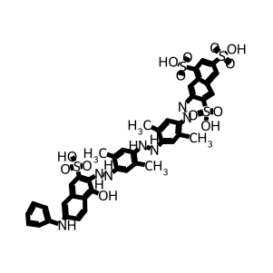 Cc1cc(NNc2cc(C)c(NNc3c(S(=O)(=O)O)cc4cc(Nc5ccccc5)ccc4c3O)cc2C)c(C)cc1N=Nc1cc2c(S(=O)(=O)O)cc(S(=O)(=O)O)cc2cc1S(=O)(=O)O